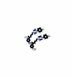 N#Cc1ccc2[nH]cc(CCCCN3CCN(c4ccc(F)cc4)CC3)c2c1.O=C(O)c1ccc2[nH]cc(CCCCN3CCN(c4ccc(F)cc4)CC3)c2c1